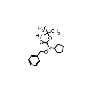 CC(C)(C)OC(=O)N(OCc1ccccc1)C1CCCC1